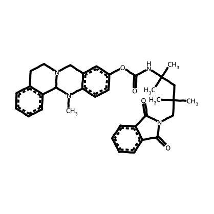 CN1c2ccc(OC(=O)NC(C)(C)CC(C)(C)CN3C(=O)c4ccccc4C3=O)cc2CN2CCc3ccccc3C21